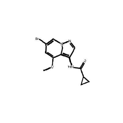 COc1cc(Br)cn2ncc(NC(=O)C3CC3)c12